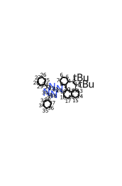 CC(C)(C)C1=C(C(C)(C)C)c2cccc3c2c2c4c1cccc4ccc2n3-c1nc(-c2ccccc2)nc(-c2ccccc2)n1